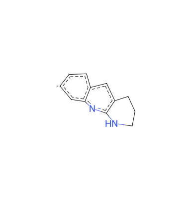 [c]1ccc2cc3c(nc2c1)NCCC3